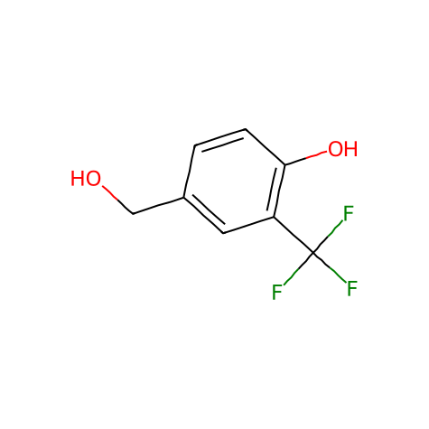 OCc1ccc(O)c(C(F)(F)F)c1